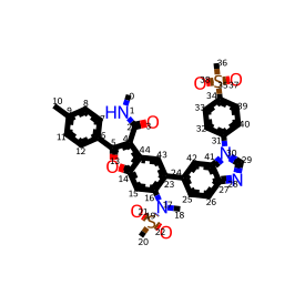 CNC(=O)c1c(-c2ccc(C)cc2)oc2cc(N(C)S(C)(=O)=O)c(-c3ccc4ncn(-c5ccc(S(C)(=O)=O)cc5)c4c3)cc12